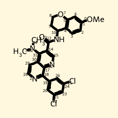 COc1ccc2c(c1)OCCC2NC(=O)c1cnc2c(-c3cc(Cl)cc(Cl)c3)nccc2c1N(C)C